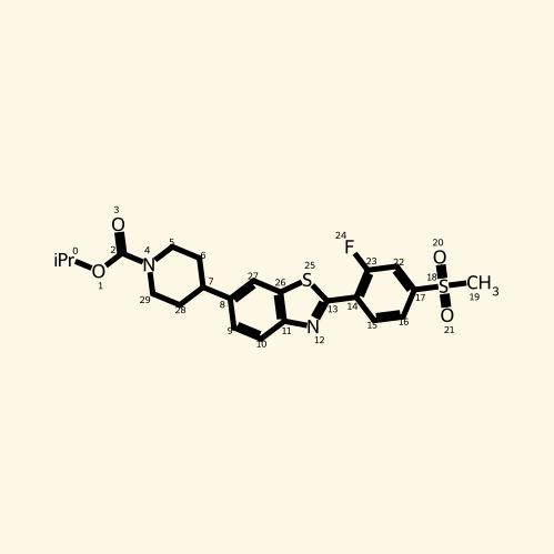 CC(C)OC(=O)N1CCC(c2ccc3nc(-c4ccc(S(C)(=O)=O)cc4F)sc3c2)CC1